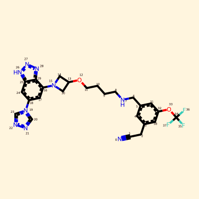 N#CCc1cc(CNCCCCOC2CN(c3cc(-n4cnnc4)cc4[nH]nnc34)C2)cc(OC(F)(F)F)c1